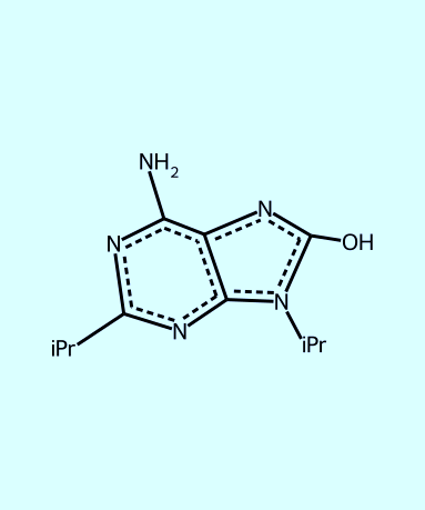 CC(C)c1nc(N)c2nc(O)n(C(C)C)c2n1